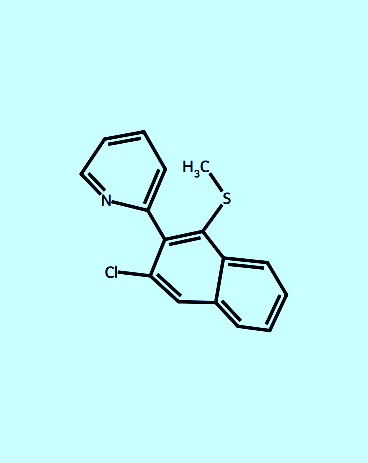 CSc1c(-c2ccccn2)c(Cl)cc2ccccc12